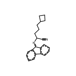 N#CC(CCCC1CCC1)N=C1c2ccccc2-c2ccccc21